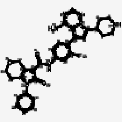 Nc1ncnn2c(C3CCNCC3)cc(-c3ccc(NC(=O)c4c5n(n(-c6ccccc6)c4=O)CCOC5)cc3F)c12